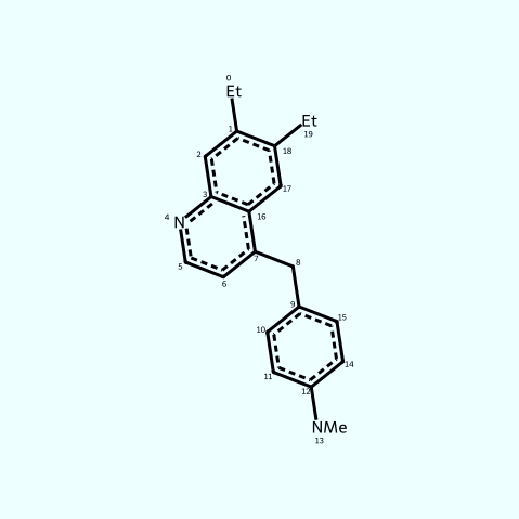 CCc1cc2nccc(Cc3ccc(NC)cc3)c2cc1CC